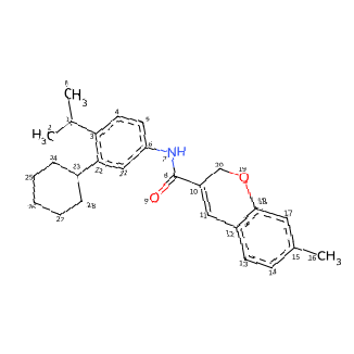 C[C](C)c1ccc(NC(=O)C2=Cc3ccc(C)cc3OC2)cc1C1CCCCC1